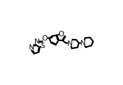 c1cnc2nc(Oc3ccc4c(CN5CCC(N6CCCCC6)CC5)coc4c3)sc2c1